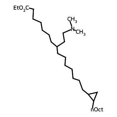 CCCCCCCCC1CC1CCCCCCCC(CCCCCCC(=O)OCC)CCN(C)C